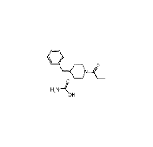 CCC(=O)N1CCC(Cc2ccccc2)CC1.NC(=O)O